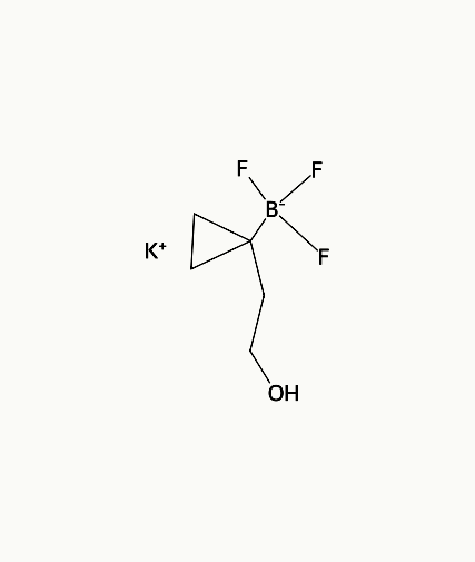 OCCC1([B-](F)(F)F)CC1.[K+]